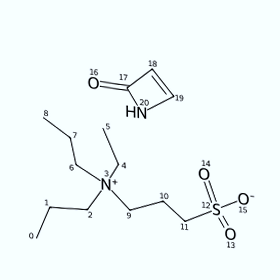 CCC[N+](CC)(CCC)CCCS(=O)(=O)[O-].O=C1C=CN1